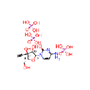 C#C[C@@]1(O)[C@@H](CO)O[C@@H](n2ccc(N)nc2=O)[C@@H]1O.O=P(O)(O)O.O=P(O)(O)O.O=P(O)(O)O